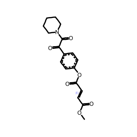 COC(=O)/C=C/C(=O)Oc1ccc(C(=O)C(=O)N2CCCCC2)cc1